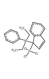 CC[Si](CC)(c1ccccc1)[C]1([Ti]([Cl])([Cl])[Cl])C=Cc2ccccc21